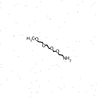 COCCOCCOCOCCN